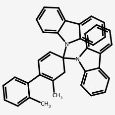 CC1=C(c2ccccc2C)C=CC(n2c3ccccc3c3ccccc32)(n2c3ccccc3c3ccccc32)C1